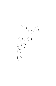 CC1(C)c2cc3oc4ccccc4c3cc2-c2ccc3c(c21)c1ccccc1n3-c1cccc(-c2nc(-c3ccccc3)nc(-c3ccccc3)n2)c1